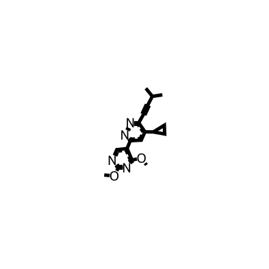 COc1ncc(-c2cc(C3CC3)c(C#CC(C)C)nn2)c(OC)n1